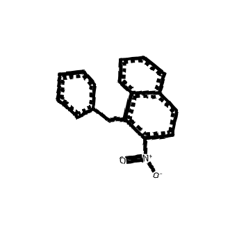 O=[N+]([O-])c1ccc2ccccc2c1Cc1ccccc1